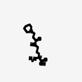 N[C@@H](CCCNC(=O)CCN1CCCCC1)C(=O)O